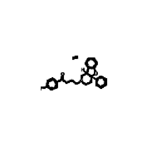 C=C.O=C(CCCN1CC[C@@]2(c3ccccc3)Oc3ccccc3[C@H]2C1)c1ccc(F)cc1